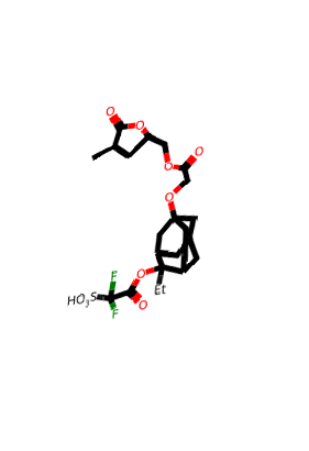 CCC1(OC(=O)C(F)(F)S(=O)(=O)O)C2CC3CC1CC(OCC(=O)OCC1CC(C)C(=O)O1)(C3)C2